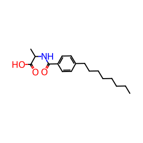 CCCCCCCCc1ccc(C(=O)NC(C)C(=O)O)cc1